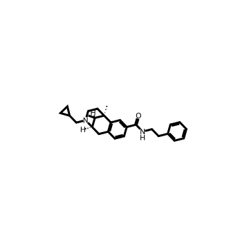 C[C@@H]1[C@H]2Cc3ccc(C(=O)NCCc4ccccc4)cc3[C@]1(C)CCN2CC1CC1